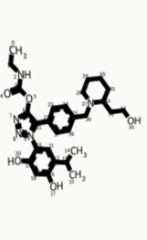 CCNC(=O)Oc1nnn(-c2cc(C(C)C)c(O)cc2O)c1-c1ccc(CN2CCCCC2CCO)cc1